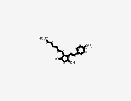 O=C(O)CCCCCCC1C(=O)CC(O)C1/C=C/c1ccc([N+](=O)[O-])cc1